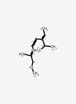 C\C=C(/C=C\N=C(/N)COC)C(C)C